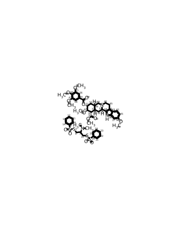 CN(C)C(CSS(=O)(=O)c1ccccc1)CSS(=O)(=O)c1ccccc1.COC(=O)[C@H]1[C@H]2C[C@@H]3c4[nH]c5cc(OC)ccc5c4CCN3C[C@H]2C[C@@H](OC(=O)c2cc(OC)c(OC)c(OC)c2)[C@@H]1OC